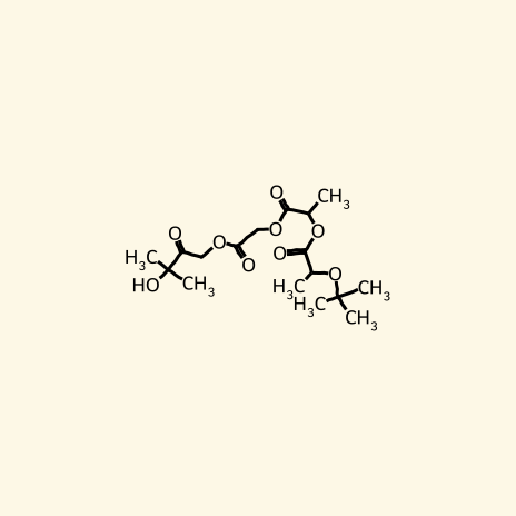 CC(OC(=O)C(C)OC(C)(C)C)C(=O)OCC(=O)OCC(=O)C(C)(C)O